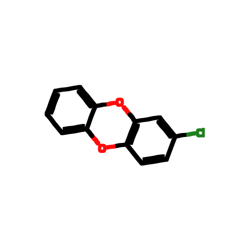 Clc1ccc2c(c1)Oc1ccccc1O2